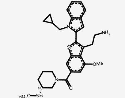 COc1cc(C(=O)N2CCC[C@@H](NC(=O)O)C2)cc2sc(-c3cc4ccccc4n3CC3CC3)c(CCN)c12